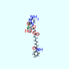 Nc1ccn(C2OC(COC(=O)CCCCCCC(=O)Nc3ccccc3)C(O)C2(F)F)c(=O)n1